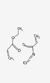 C=CC(=O)N=C=O.C=CC(=O)OCC